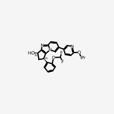 CC(C)Oc1ccc(-c2ccc3nc4c(n3c2)[C@@H](c2ccccc2OC(F)F)C[C@H]4O)cn1